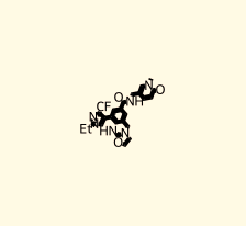 CCn1cc(-c2cc(CN3CCOC3=N)cc(C(=O)NCc3ccc(=O)n(C)c3)c2)c(C(F)(F)F)n1